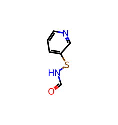 O=CNSc1cccnc1